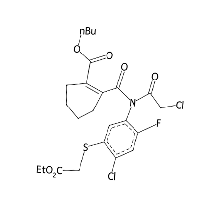 CCCCOC(=O)C1=C(C(=O)N(C(=O)CCl)c2cc(SCC(=O)OCC)c(Cl)cc2F)CCCC1